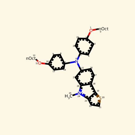 CCCCCCCCOc1ccc(N(c2ccc(OCCCCCCCC)cc2)c2ccc3c4sccc4n(C)c3c2)cc1